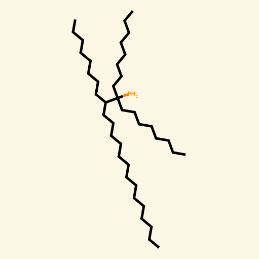 CCCCCCCCCCCCCCC(CCCCCCCC)C(P)(CCCCCCCC)CCCCCCCC